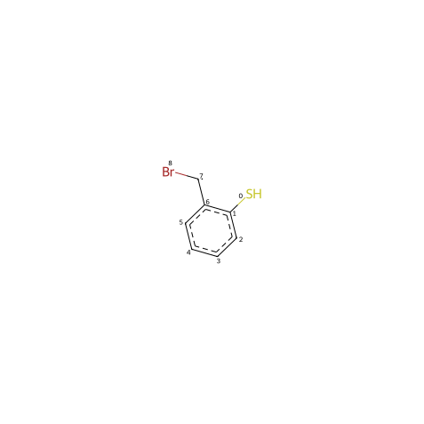 Sc1ccccc1[CH]Br